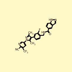 Cc1nn(-c2cnc(C#N)c(C(F)(F)F)c2)c(C)c1-c1ccc(CNC(=O)c2ccc3[nH]ncc3c2)c(F)c1